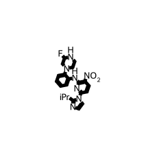 CC(C)c1nccn1-c1ccc([N+](=O)[O-])c(Nc2ccccc2N2CCNC(F)C2)n1